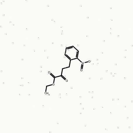 CCOC(=O)C(=O)CCc1ccccc1[N+](=O)[O-]